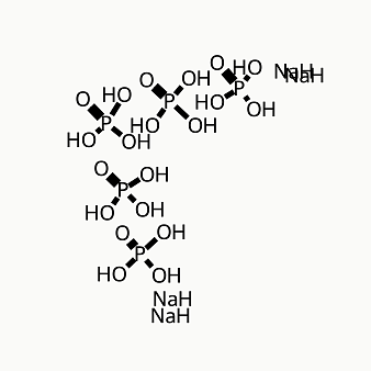 O=P(O)(O)O.O=P(O)(O)O.O=P(O)(O)O.O=P(O)(O)O.O=P(O)(O)O.[NaH].[NaH].[NaH].[NaH]